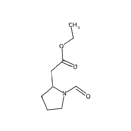 CCOC(=O)CC1CCCN1C=O